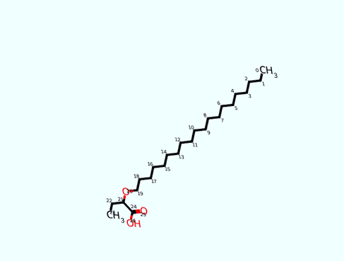 CCCCCCCCCCCCCCCCCCCCOC(CC)C(=O)O